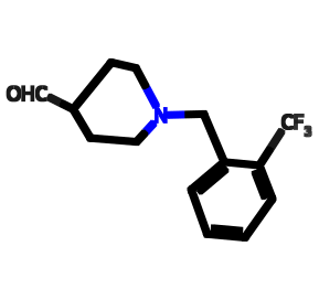 O=CC1CCN(Cc2ccccc2C(F)(F)F)CC1